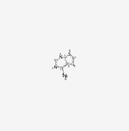 [N]c1ncnc2sccc12